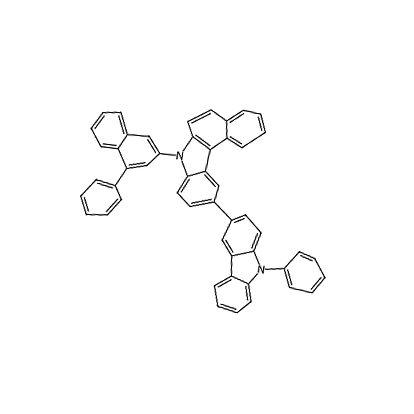 c1ccc(-c2cc(-n3c4ccc(-c5ccc6c(c5)c5ccccc5n6-c5ccccc5)cc4c4c5ccccc5ccc43)cc3ccccc23)cc1